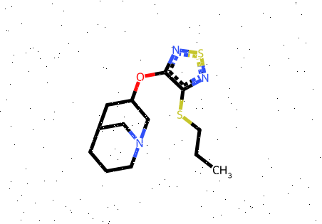 CCCSc1nsnc1OC1CC2CCCN(C2)C1